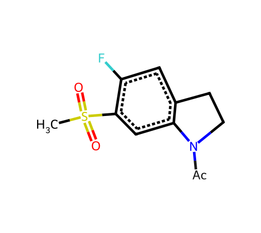 CC(=O)N1CCc2cc(F)c(S(C)(=O)=O)cc21